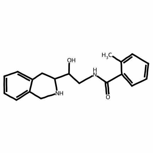 Cc1ccccc1C(=O)NCC(O)C1Cc2ccccc2CN1